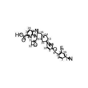 N#Cc1ccc(COc2ccn(C3CCN(Cc4nc5ccc(C(=O)O)nc5n4C[C@@H]4CCO4)CC3)n2)c(F)c1